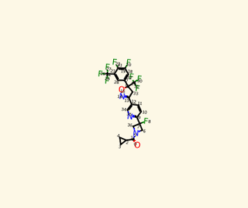 O=C(C1CC1)N1CC(F)(c2ccc(C3=NOC(c4cc(F)c(F)c(C(F)(F)F)c4)(C(F)(F)F)C3)cn2)C1